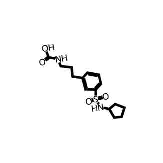 O=C(O)NCCCc1cccc(S(=O)(=O)NC2CCCC2)c1